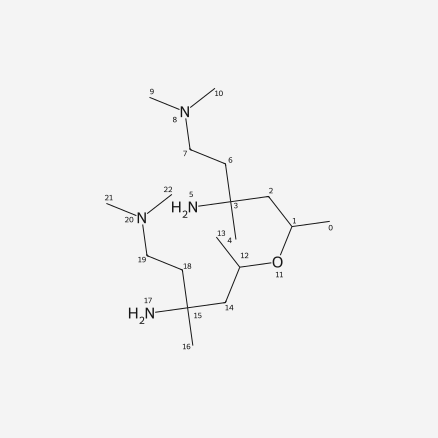 CC(CC(C)(N)CCN(C)C)OC(C)CC(C)(N)CCN(C)C